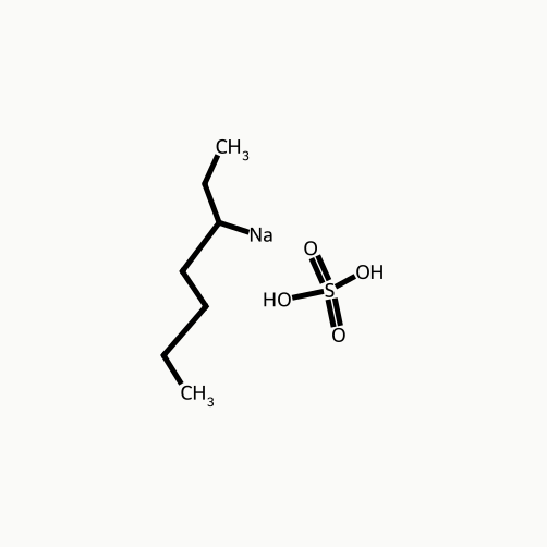 CCCC[CH]([Na])CC.O=S(=O)(O)O